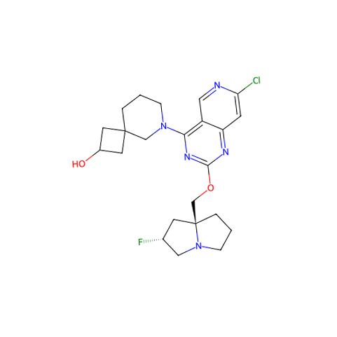 OC1CC2(CCCN(c3nc(OC[C@@]45CCCN4C[C@H](F)C5)nc4cc(Cl)ncc34)C2)C1